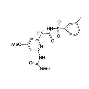 CNC(=O)Nc1cc(OC)cc(NC(=O)NS(=O)(=O)c2cccc(C)c2)n1